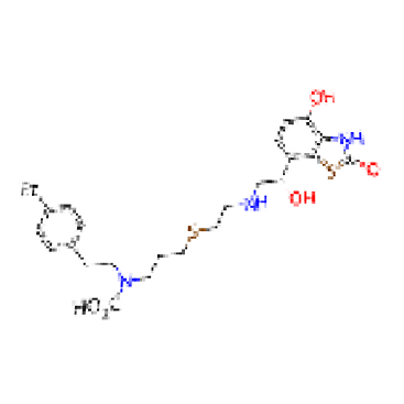 CCc1ccc(CCN(CCCSCCNC[C@@H](O)c2ccc(O)c3[nH]c(=O)sc23)C(=O)O)cc1